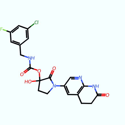 O=C1CCc2cc(N3CCC(O)(OC(=O)NCc4cc(F)cc(Cl)c4)C3=O)cnc2N1